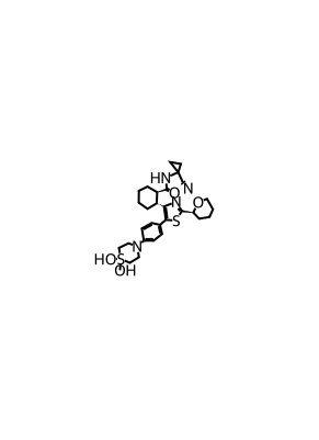 N#CC1(NC(=O)[C@@H]2CCCC[C@H]2c2nc([C@@H]3CCCCO3)sc2-c2ccc(N3CCS(O)(O)CC3)cc2)CC1